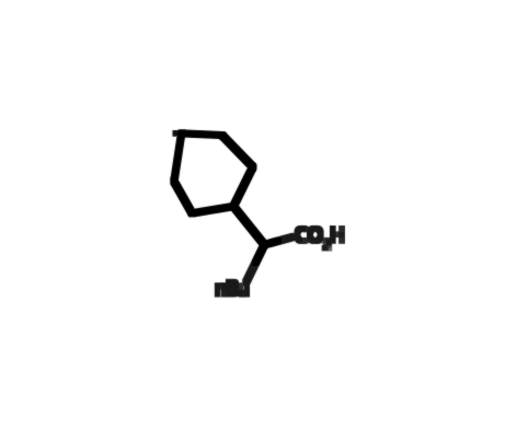 CCCCC(C(=O)O)C1CC[CH]CC1